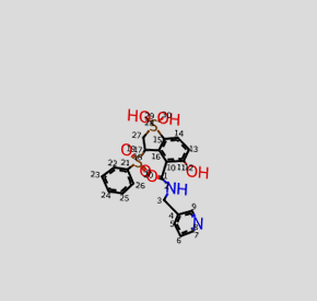 O=C(NCc1cccnc1)c1c(O)ccc2c1C(S(=O)(=O)c1ccccc1)CS2(O)O